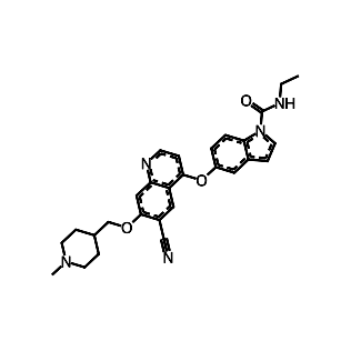 CCNC(=O)n1ccc2cc(Oc3ccnc4cc(OCC5CCN(C)CC5)c(C#N)cc34)ccc21